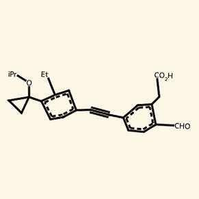 CCc1cc(C#Cc2ccc(C=O)c(CC(=O)O)c2)ccc1C1(OC(C)C)CC1